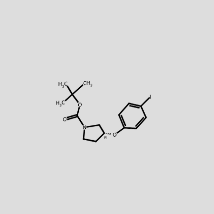 CC(C)(C)OC(=O)N1CC[C@@H](Oc2ccc(I)cc2)C1